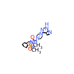 CN(C)S(=O)(=O)c1ccccc1CNC(=O)CN1CCN(c2nc[nH]c3nccc2-3)CC1